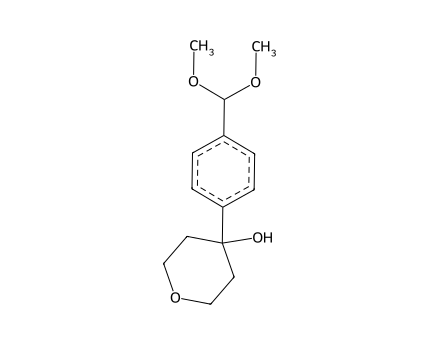 COC(OC)c1ccc(C2(O)CCOCC2)cc1